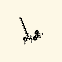 CCCCCCCCCCCCCCCC(=O)N(CC(=O)Nc1ccc2c(c1)C[C@@]1(C2)C(=O)Nc2ncccc21)[C@@H]1CCCNC1